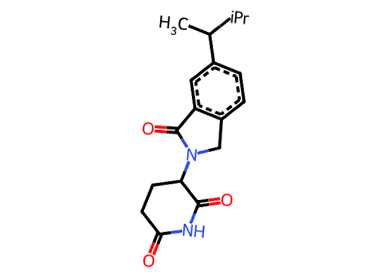 CC(C)C(C)c1ccc2c(c1)C(=O)N(C1CCC(=O)NC1=O)C2